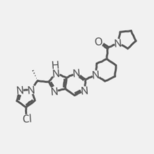 C[C@H](c1nc2cnc(N3CCCC(C(=O)N4CCCC4)C3)nc2[nH]1)n1cc(Cl)cn1